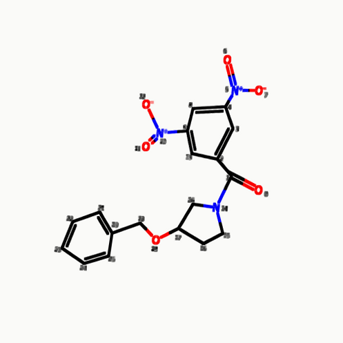 O=C(c1cc([N+](=O)[O-])cc([N+](=O)[O-])c1)N1CCC(OCc2ccccc2)C1